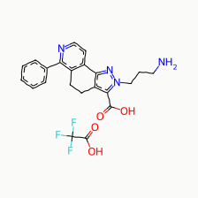 NCCCn1nc2c(c1C(=O)O)CCc1c-2ccnc1-c1ccccc1.O=C(O)C(F)(F)F